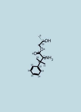 C[C@H](O)COC(=O)C(N)C(C)(C)c1ccccc1